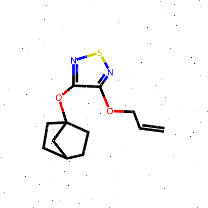 C=CCOc1nsnc1OC12CCC(CC1)C2